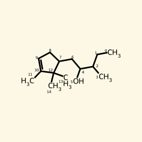 CCC(C)C(O)CC1CC=C(C)C1(C)C